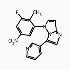 Cc1c(F)cc([N+](=O)[O-])cc1-n1ccc2ncc(-c3cccnc3)n21